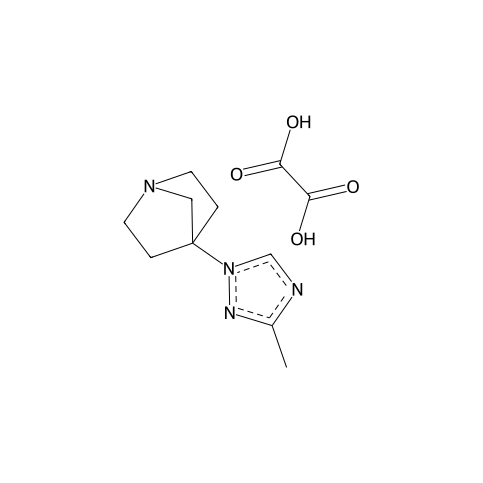 Cc1ncn(C23CCN(CC2)C3)n1.O=C(O)C(=O)O